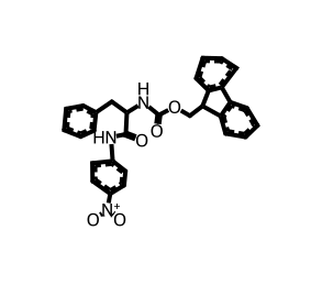 O=C(NC(Cc1ccccc1)C(=O)Nc1ccc([N+](=O)[O-])cc1)OCC1c2ccccc2-c2ccccc21